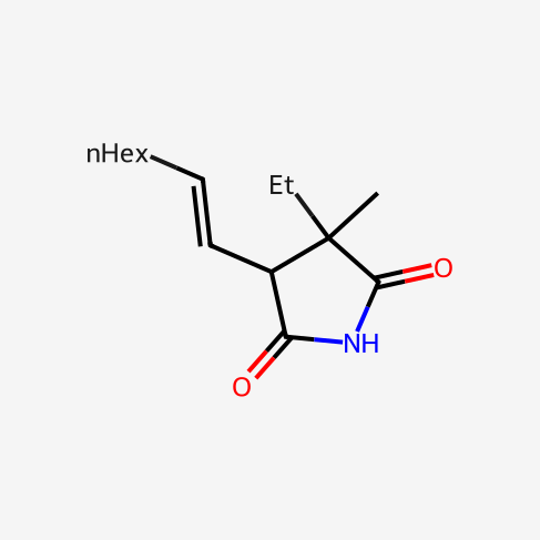 CCCCCCC=CC1C(=O)NC(=O)C1(C)CC